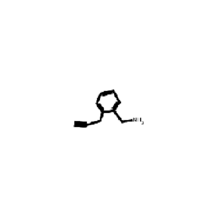 C#C[CH]c1ccccc1CN